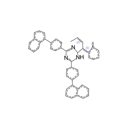 C=c1cccc/c1=C(/C=C\C)C1N=C(c2ccc(-c3cccc4ccccc34)cc2)N=C(c2ccc(-c3cccc4ccccc34)cc2)N1